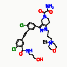 CC[N+]1(CCCn2nc(-c3ccc(Cl)c(C#Cc4ccc(Cl)c(C(=O)NCCCO)c4)c3)c3c2CCN(C(=O)C(N)=O)C3)CCOCC1